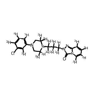 [2H]c1c([2H])c(Cl)c([2H])c(N2CC([2H])([2H])N(C([2H])([2H])C([2H])([2H])C([2H])([2H])n3nc4c([2H])c([2H])c([2H])c([2H])n4c3=O)C([2H])([2H])C2)c1[2H]